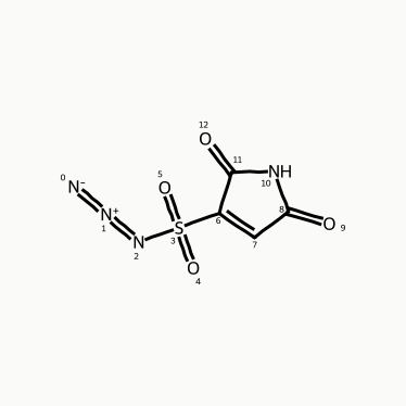 [N-]=[N+]=NS(=O)(=O)C1=CC(=O)NC1=O